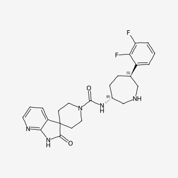 O=C(N[C@@H]1CC[C@@H](c2cccc(F)c2F)CNC1)N1CCC2(CC1)C(=O)Nc1ncccc12